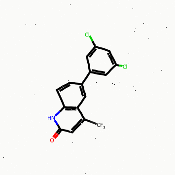 O=c1cc(C(F)(F)F)c2cc(-c3cc(Cl)cc(Cl)c3)ccc2[nH]1